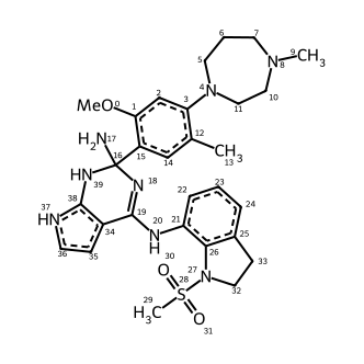 COc1cc(N2CCCN(C)CC2)c(C)cc1C1(N)N=C(Nc2cccc3c2N(S(C)(=O)=O)CC3)c2cc[nH]c2N1